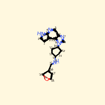 c1cc2c(ncc3ncn(C4CCC(NCC5CCOC5)CC4)c32)[nH]1